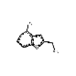 NCc1cc2c(C(F)(F)F)cccc2o1